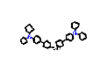 c1ccc(N(c2ccccc2)c2ccc(-c3ccc([SiH]c4ccc(-c5ccc(N(c6ccccc6)c6ccccc6)cc5)cc4)cc3)cc2)cc1